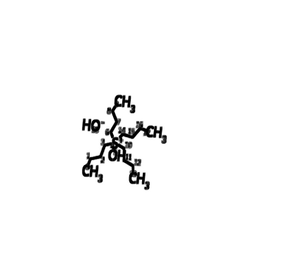 CCCC[S+](O)(CCCC)(CCCC)CCCC.[OH-]